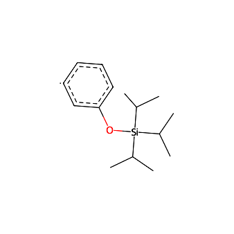 CC(C)[Si](Oc1c[c]ccc1)(C(C)C)C(C)C